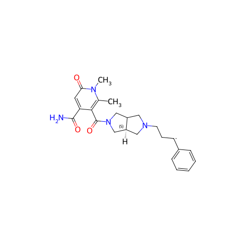 Cc1c(C(=O)N2CC3CN(CC[CH]c4ccccc4)C[C@H]3C2)c(C(N)=O)cc(=O)n1C